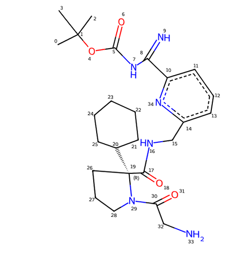 CC(C)(C)OC(=O)NC(=N)c1cccc(CNC(=O)[C@]2(C3CCCCC3)CCCN2C(=O)CN)n1